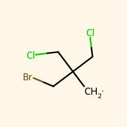 [CH2]C(CCl)(CCl)CBr